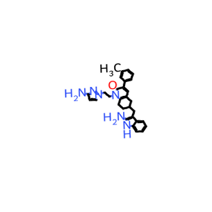 Cc1cccc(-c2cc3c(n(CCn4ccc(N)n4)c2=O)CCC(Cc2c(N)[nH]c4ccccc24)C3)c1